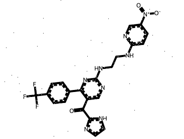 O=C(c1ncc[nH]1)c1cnc(NCCNc2ccc([N+](=O)[O-])cn2)nc1-c1ccc(C(F)(F)F)cc1